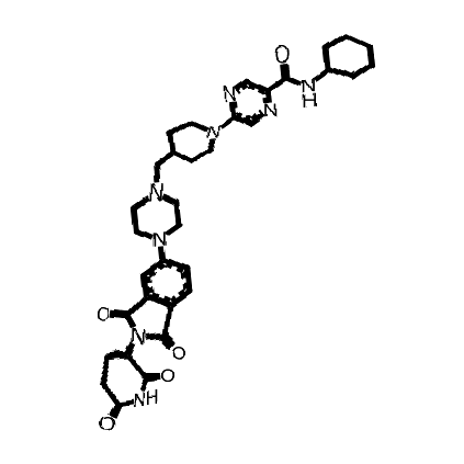 O=C1CCC(N2C(=O)c3ccc(N4CCN(CC5CCN(c6cnc(C(=O)NC7CCCCC7)cn6)CC5)CC4)cc3C2=O)C(=O)N1